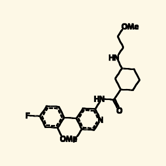 COCCNC1CCCC(C(=O)Nc2cc(-c3ccc(F)cc3OC)c(F)cn2)C1